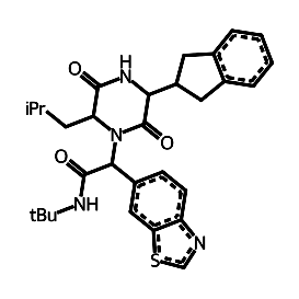 CC(C)CC1C(=O)NC(C2Cc3ccccc3C2)C(=O)N1C(C(=O)NC(C)(C)C)c1ccc2ncsc2c1